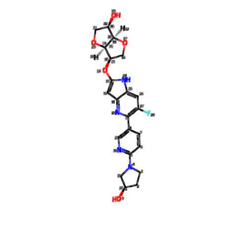 O[C@@H]1CCN(c2ccc(-c3nc4cc(O[C@@H]5CO[C@H]6[C@@H]5OC[C@H]6O)[nH]c4cc3F)cn2)C1